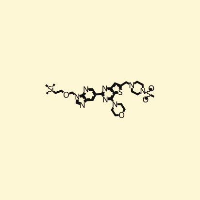 C[Si](C)(C)CCOCn1cnc2cc(-c3nc(N4CCOCC4)c4sc(CN5CCN(S(C)(=O)=O)CC5)cc4n3)cnc21